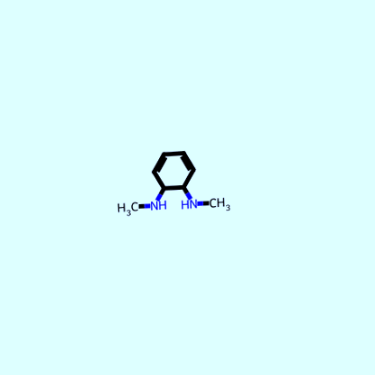 CNC1C=CC=CC1NC